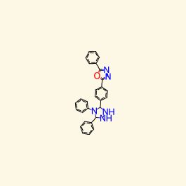 c1ccc(-c2nnc(-c3ccc(C4NNC(c5ccccc5)N4c4ccccc4)cc3)o2)cc1